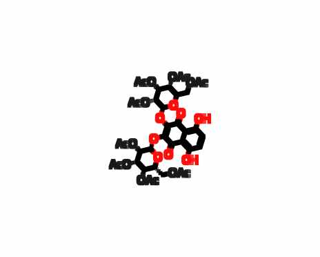 CC(=O)OCC1O[C@@H](OC2=C(O[C@@H]3O[C@H](COC(C)=O)[C@@H](OC(C)=O)[C@H](OC(C)=O)[C@H]3OC(C)=O)C(=O)c3c(O)ccc(O)c3C2=O)[C@H](OC(C)=O)[C@@H](OC(C)=O)[C@@H]1OC(C)=O